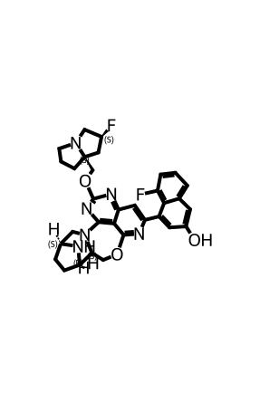 Oc1cc(-c2cc3nc(OC[C@@]45CCCN4C[C@@H](F)C5)nc4c3c(n2)OC[C@@H]2[C@H]3CC[C@@H](CN42)N3)c2c(F)cccc2c1